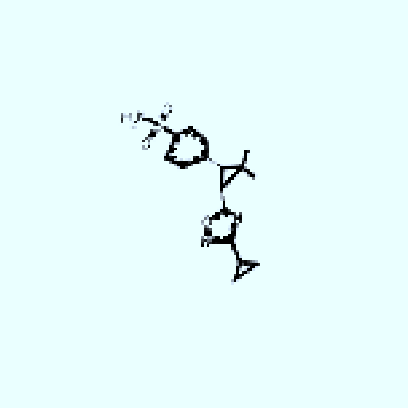 CC1(C)[C@@H](c2ccc(S(N)(=O)=O)cc2)[C@@H]1c1nc(C2CC2)no1